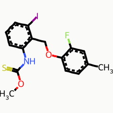 COC(=S)Nc1cccc(I)c1COc1ccc(C)cc1F